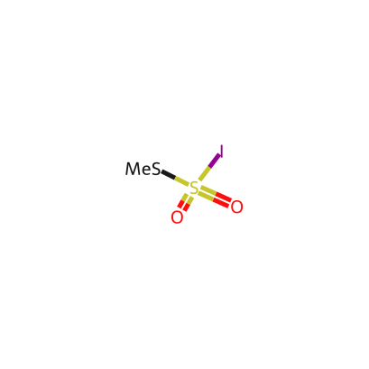 CSS(=O)(=O)I